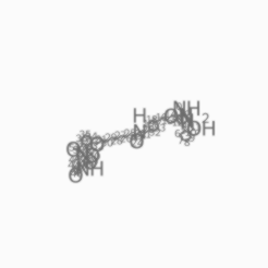 Nc1nnc(-c2ccccc2O)cc1OCCc1ccc(CNC(=O)CCCCCCCOc2cccc3c2C(=O)N(C2CCC(=O)NC2=O)C3=O)cc1